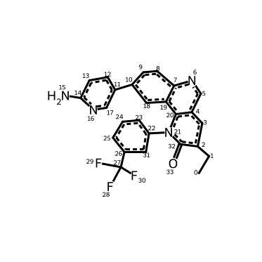 CCc1cc2cnc3ccc(-c4ccc(N)nc4)cc3c2n(-c2cccc(C(F)(F)F)c2)c1=O